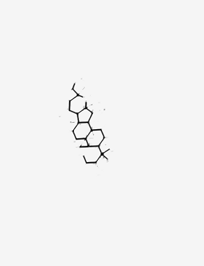 CC(=O)OC[C@@]1(C)C[C@@H](C)C2[C@H](O1)[C@H](O)[C@@]1(C)[C@@H]3CC[C@H]4C(C)(C)[C@@H](O)CC[C@@]45C[C@@]35CC[C@]21C